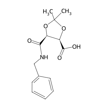 CC1(C)O[C@H](C(=O)NCc2ccccc2)[C@H](C(=O)O)O1